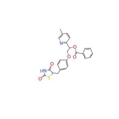 Cc1ccc(C(COc2ccc(CC3SC(=O)NC3=O)cc2)OC(=O)c2ccccc2)nc1